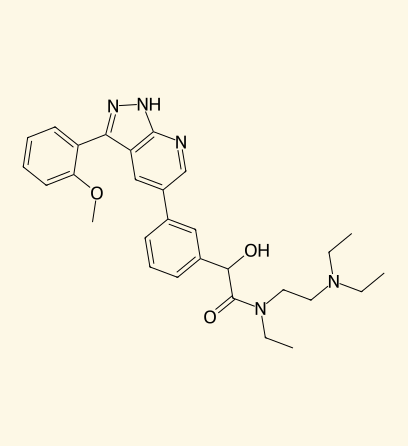 CCN(CC)CCN(CC)C(=O)C(O)c1cccc(-c2cnc3[nH]nc(-c4ccccc4OC)c3c2)c1